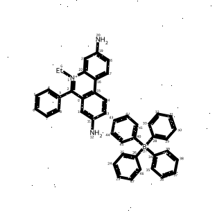 CC[n+]1c(-c2ccccc2)c2cc(N)ccc2c2ccc(N)cc21.c1ccc([B-](c2ccccc2)(c2ccccc2)c2ccccc2)cc1